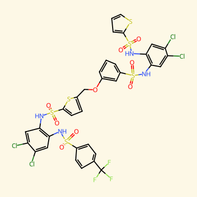 O=S(=O)(Nc1cc(Cl)c(Cl)cc1NS(=O)(=O)c1cccs1)c1cccc(OCc2ccc(S(=O)(=O)Nc3cc(Cl)c(Cl)cc3NS(=O)(=O)c3ccc(C(F)(F)F)cc3)s2)c1